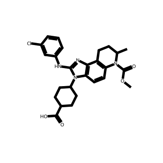 COC(=O)N1c2ccc3c(nc(Nc4cccc(Cl)c4)n3C3CCC(C(=O)O)CC3)c2CCC1C